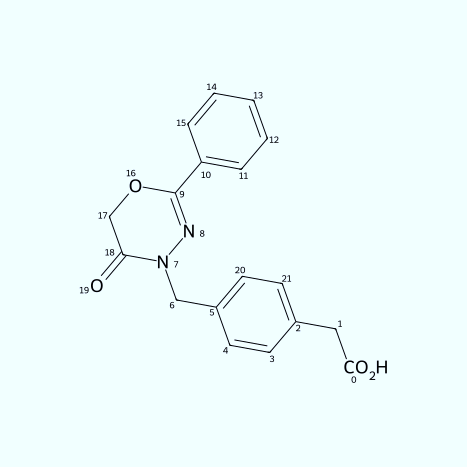 O=C(O)Cc1ccc(CN2N=C(c3ccccc3)OCC2=O)cc1